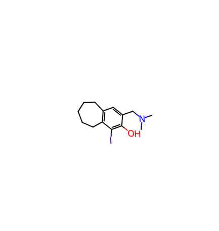 CN(C)Cc1cc2c(c(I)c1O)CCCCC2